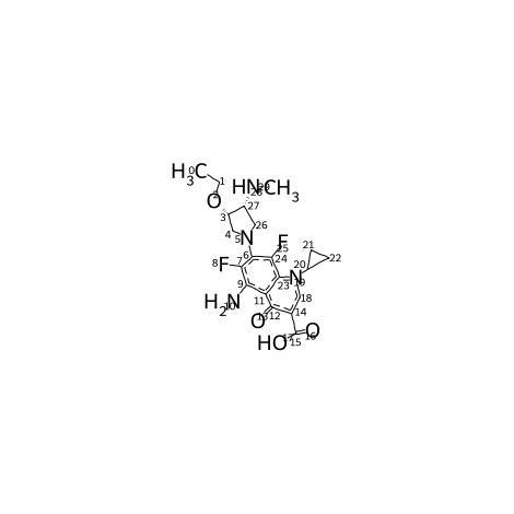 CCO[C@H]1CN(c2c(F)c(N)c3c(=O)c(C(=O)O)cn(C4CC4)c3c2F)C[C@H]1NC